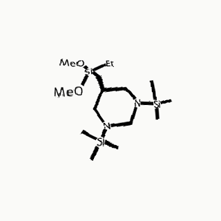 CC[Si](OC)(OC)C1CN([Si](C)(C)C)CN([Si](C)(C)C)C1